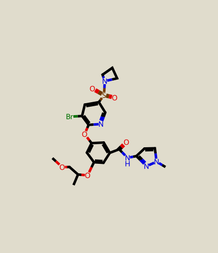 COCC(C)Oc1cc(Oc2ncc(S(=O)(=O)N3CCC3)cc2Br)cc(C(=O)Nc2ccn(C)n2)c1